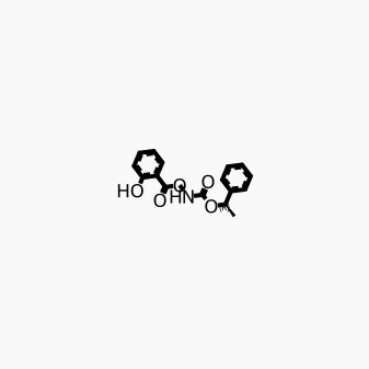 C[C@@H](OC(=O)NOC(=O)c1ccccc1O)c1ccccc1